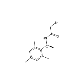 Cc1cc(C)c([C@H](C)NC(=O)CBr)c(C)c1